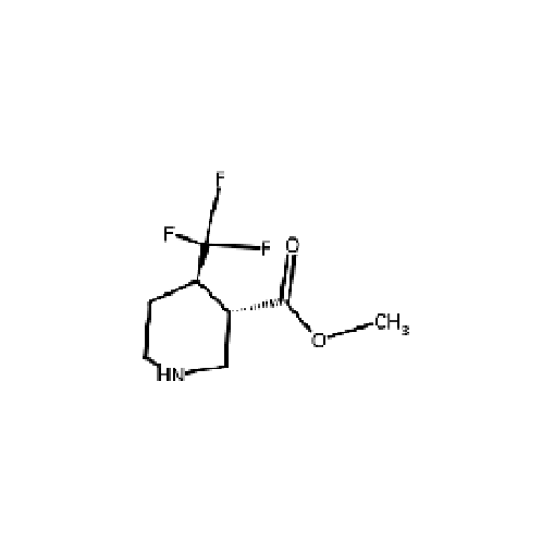 COC(=O)[C@@H]1CNCC[C@H]1C(F)(F)F